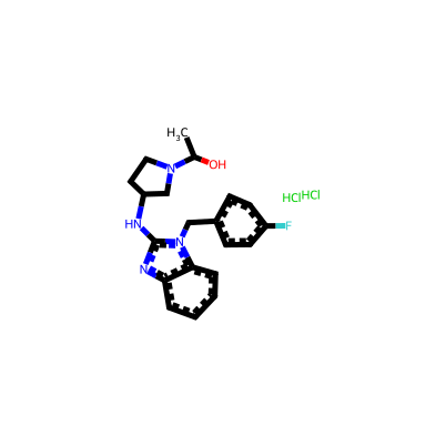 CC(O)N1CCC(Nc2nc3ccccc3n2Cc2ccc(F)cc2)C1.Cl.Cl